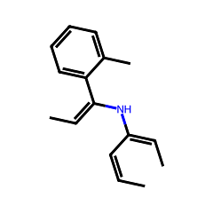 C/C=C\C(=C/C)N/C(=C/C)c1ccccc1C